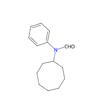 O=CN(c1ccccc1)C1CCCCCCC1